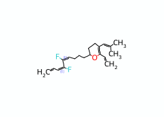 C=C/C=C(F)\C(F)=C/CCCC1CCC(C=C(C)C)=C(C=C)O1